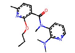 CCCOc1nc(C)ccc1C(=O)N(C)c1cccnc1N(C)C